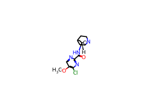 COc1cnc(C(=O)N[C@@H]2CC3CCN(CC3)C2)nc1Cl